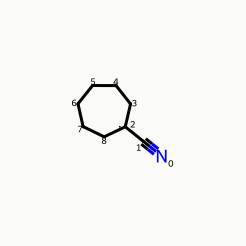 N#C[C]1CCCCCC1